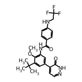 COc1c(NC(=O)c2ccc(NCC(F)(F)F)cc2)cc(-c2ccn[nH]c2=O)cc1C(C)(C)C